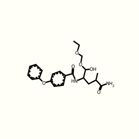 CCOCOC(O)C(CC(C)C(N)=O)NC(=O)c1ccc(Oc2ccccc2)cc1